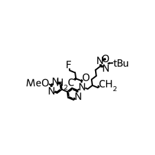 C=CC(CCCc1noc(C(C)(C)C)n1)CN(C(=O)C(=C)CCF)c1cc(-c2cnc(OC)nc2)ccn1